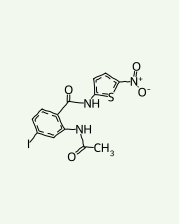 CC(=O)Nc1cc(I)ccc1C(=O)Nc1ccc([N+](=O)[O-])s1